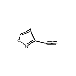 [C]#Cc1ccon1